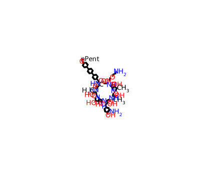 CCCCCOc1ccc(-c2ccc(-c3ccc(C(=O)N[C@H]4C[C@@H](O)[C@@H](OCCOCCN)NC(=O)C5C(O)[C@@H](C)CN5C(=O)[C@H]([C@@H](C)O)NC(=O)C(C(O)[C@@H](O)c5ccc(O)c(N)c5)NC(=O)[C@@H]5C[C@@H](O)CN5C(=O)[C@H]([C@@H](C)O)NC4=O)cc3)cc2)cc1